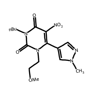 CCCCn1c(=O)c([N+](=O)[O-])c(-c2cnn(C)c2)n(CCOC)c1=O